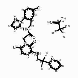 O=C(Cn1c(Cl)cnc(NCC(F)(F)c2ccccn2)c1=O)NCc1cc(Cl)ccc1-n1cncn1.O=C(O)C(F)(F)F